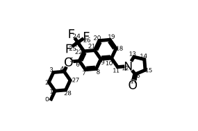 CC1CCC(Oc2ccc3c(CN4CCCC4=O)cccc3c2C(F)(F)F)CC1